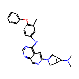 Cc1cc(Nc2ncnc3cnc(N4CC5C(C4)C5N(C)C)cc23)ccc1Oc1ccccc1